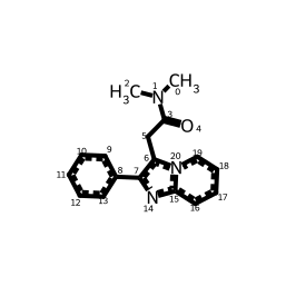 CN(C)C(=O)Cc1c(-c2ccccc2)nc2ccccn12